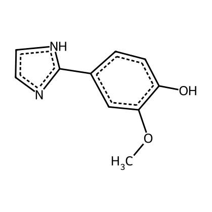 COc1cc(-c2ncc[nH]2)ccc1O